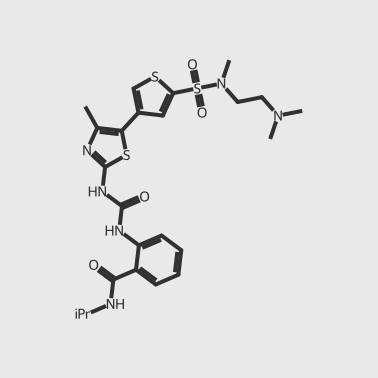 Cc1nc(NC(=O)Nc2ccccc2C(=O)NC(C)C)sc1-c1csc(S(=O)(=O)N(C)CCN(C)C)c1